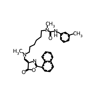 Cc1cccc(NC(=O)N(C)CCCCCCN(C)C=C2N=C(c3cccc4ccccc34)OC2=O)c1